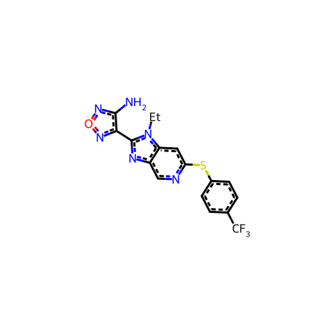 CCn1c(-c2nonc2N)nc2cnc(Sc3ccc(C(F)(F)F)cc3)cc21